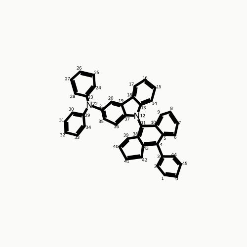 c1ccc(-c2c3ccccc3c(-n3c4ccccc4c4cc(N(c5ccccc5)c5ccccc5)ccc43)c3ccccc23)cc1